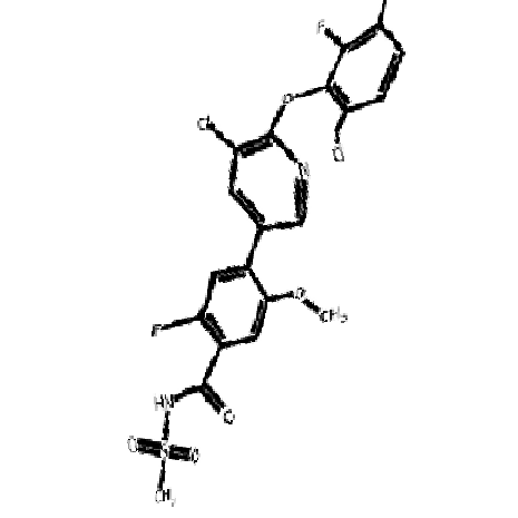 COc1cc(C(=O)NS(C)(=O)=O)c(F)cc1-c1cnc(Oc2c(Cl)ccc(C)c2F)c(Cl)c1